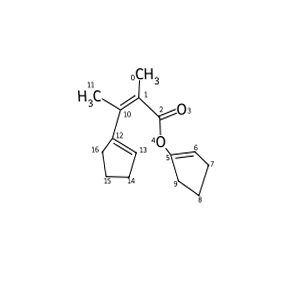 CC(C(=O)OC1=CCCC1)=C(C)C1=CCCC1